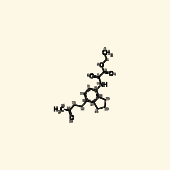 CCOC(=O)C(=O)Nc1ccc(CCC(C)=O)c2c1CCC2